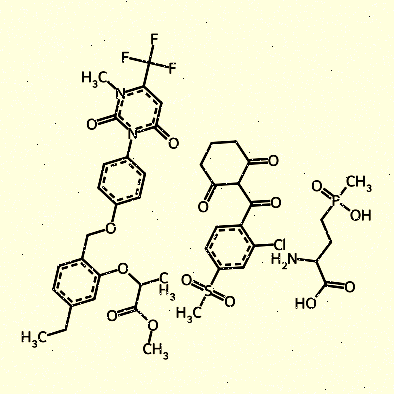 CCc1ccc(COc2ccc(-n3c(=O)cc(C(F)(F)F)n(C)c3=O)cc2)c(OC(C)C(=O)OC)c1.CP(=O)(O)CCC(N)C(=O)O.CS(=O)(=O)c1ccc(C(=O)C2C(=O)CCCC2=O)c(Cl)c1